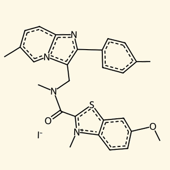 COc1ccc2c(c1)sc(C(=O)N(C)Cc1c(-c3ccc(C)cc3)nc3ccc(C)cn13)[n+]2C.[I-]